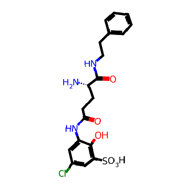 N[C@@H](CCC(=O)Nc1cc(Cl)cc(S(=O)(=O)O)c1O)C(=O)NCCc1ccccc1